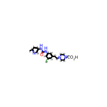 Cc1ccc(NC(=O)Nc2cc(F)cc(CCN3CCN(C(=O)O)CC3)c2)cn1